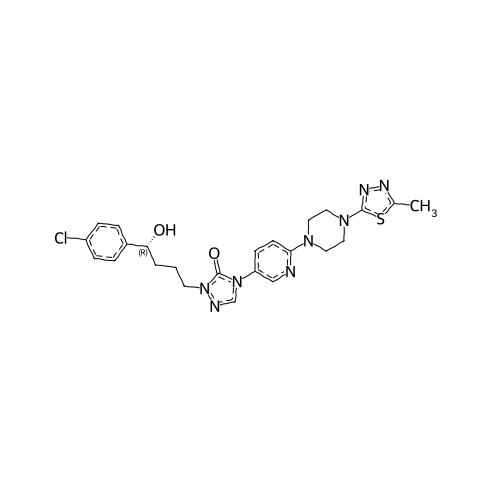 Cc1nnc(N2CCN(c3ccc(-n4cnn(CCC[C@@H](O)c5ccc(Cl)cc5)c4=O)cn3)CC2)s1